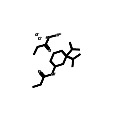 CCC(=O)NC1CCCC(C(C)C)(C(C)C)C1.CCC(=O)[NH][Ti+2].[Cl-].[Cl-]